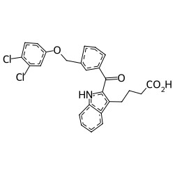 O=C(O)CCCc1c(C(=O)c2cccc(COc3ccc(Cl)c(Cl)c3)c2)[nH]c2ccccc12